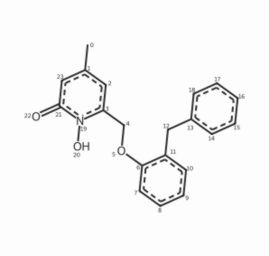 Cc1cc(COc2ccccc2Cc2ccccc2)n(O)c(=O)c1